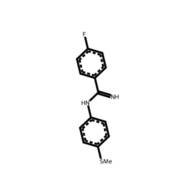 CSc1ccc(NC(=N)c2ccc(F)cc2)cc1